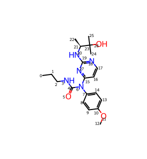 CCCNC(=O)N(c1ccc(OC)cc1)c1ccnc(N[C@@H](C)C(C)(C)O)n1